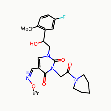 COc1ccc(F)cc1C(O)Cn1cc(/C=N\OC(C)C)c(=O)n(CC(=O)N2CCCCC2)c1=O